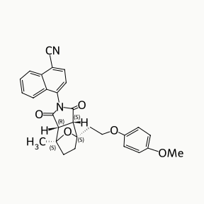 COc1ccc(OCC[C@]23CC[C@](C)(O2)[C@@H]2C(=O)N(c4ccc(C#N)c5ccccc45)C(=O)[C@@H]23)cc1